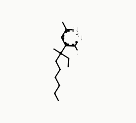 CCCCCCC(C)(CC)c1cc(C)nnc1Cl